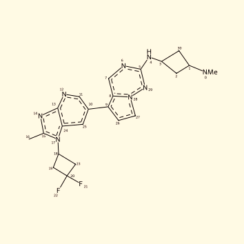 CNC1CC(Nc2ncc3c(-c4cnc5nc(C)n(C6CC(F)(F)C6)c5c4)ccn3n2)C1